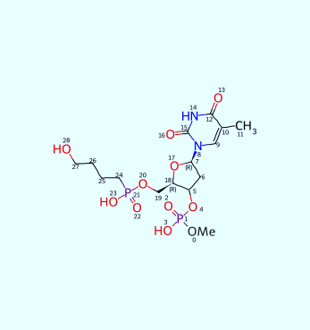 COP(=O)(O)OC1C[C@H](n2cc(C)c(=O)[nH]c2=O)O[C@@H]1COP(=O)(O)CCCCO